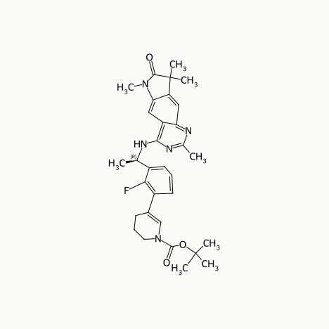 Cc1nc(N[C@H](C)c2cccc(C3=CN(C(=O)OC(C)(C)C)CCC3)c2F)c2cc3c(cc2n1)C(C)(C)C(=O)N3C